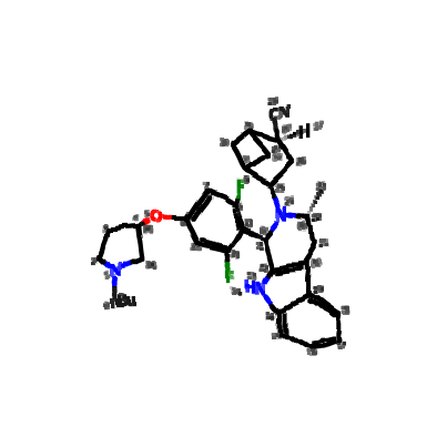 CCCCN1CC[C@@H](Oc2cc(F)c([C@@H]3c4[nH]c5ccccc5c4C[C@@H](C)N3C3C[C@H](C#N)C4CC3C4)c(F)c2)C1